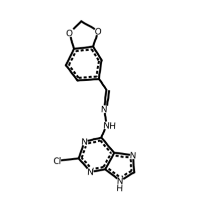 Clc1nc(NN=Cc2ccc3c(c2)OCO3)c2nc[nH]c2n1